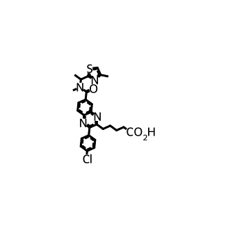 Cc1csc(C(C)N(C)C(=O)c2ccc3nc(-c4ccc(Cl)cc4)c(CCCCC(=O)O)nc3c2)n1